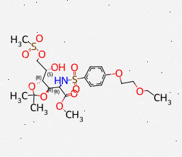 CCOCCOc1ccc(S(=O)(=O)N[C@@H](C(=O)OC)[C@H]2OC(C)(C)O[C@@H]2[C@@H](O)COS(C)(=O)=O)cc1